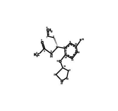 C=CC[C@@H](NC(C)=O)c1cc(F)ccc1OC1CCOC1